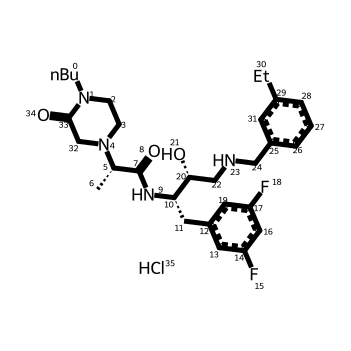 CCCCN1CCN([C@@H](C)C(=O)N[C@@H](Cc2cc(F)cc(F)c2)[C@H](O)CNCc2cccc(CC)c2)CC1=O.Cl